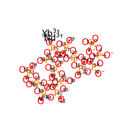 O=P([O-])([O-])OP(=O)([O-])OP(=O)([O-])OP(=O)([O-])OP(=O)([O-])OP(=O)([O-])OP(=O)([O-])OP(=O)([O-])OP(=O)([O-])OP(=O)([O-])OP(=O)([O-])OP(=O)([O-])OP(=O)([O-])OP(=O)([O-])[O-].[Nd+3].[Yb+3]